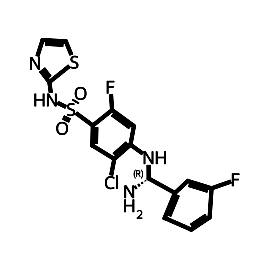 N[C@H](Nc1cc(F)c(S(=O)(=O)Nc2nccs2)cc1Cl)c1cccc(F)c1